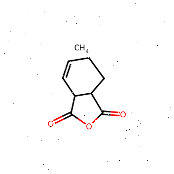 C.O=C1OC(=O)C2CCC=CC12